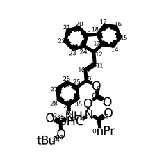 CCCC(=O)N(C=O)OC(=O)OC(/C=C/C1c2ccccc2-c2ccccc21)c1cccc(NC(=O)OC(C)(C)C)c1